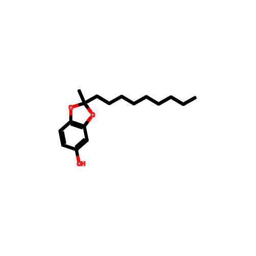 CCCCCCCCCC1(C)Oc2ccc(O)cc2O1